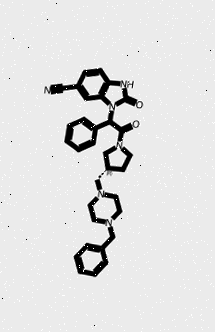 N#Cc1ccc2[nH]c(=O)n(C(C(=O)N3CC[C@H](CN4CCN(Cc5ccccc5)CC4)C3)c3ccccc3)c2c1